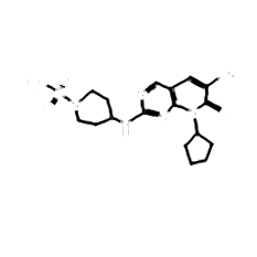 N#Cc1cc2cnc(NC3CCN(S(=O)(=O)C(F)(F)F)CC3)nc2n(C2CCCC2)c1=O